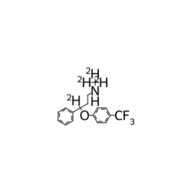 [2H]C([2H])([2H])NCCC([2H])(Oc1ccc(C(F)(F)F)cc1)c1ccccc1